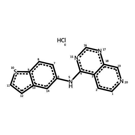 Cl.c1cc2c(Nc3ccc4sccc4c3)ncnc2cn1